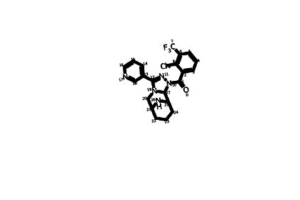 O=C(c1cccc(C(F)(F)F)c1Cl)N1N=C(c2cccnc2)N2CC3CCCC(N3)C21